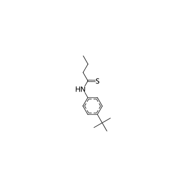 CCCC(=S)Nc1ccc(C(C)(C)C)cc1